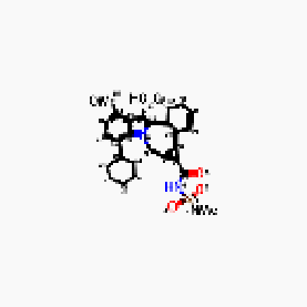 CNS(=O)(=O)NC(=O)C1=C2Cn3c(cc4c(OC)ccc(C5CCCCC5)c43)C3C(=C21)C=CC[C@H]3C(=O)O